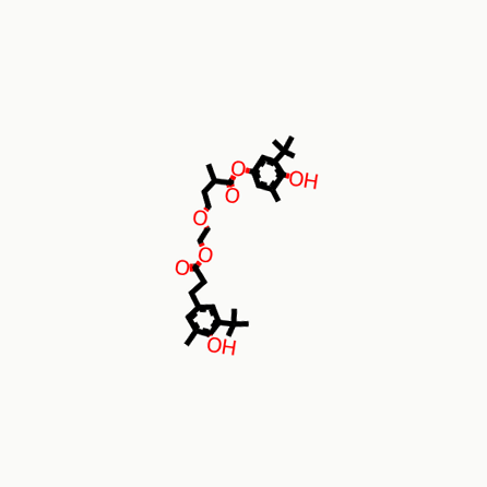 Cc1cc(CCC(=O)OCCOCCC(C)C(=O)Oc2cc(C)c(O)c(C(C)(C)C)c2)cc(C(C)(C)C)c1O